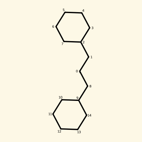 [CH](CC1CCCCC1)CC1CCCCC1